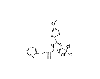 COc1ccc(-c2nc(NCCc3ccccn3)nc(C(Cl)(Cl)Cl)n2)cc1